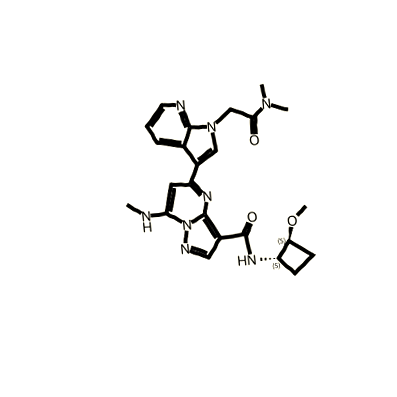 CNc1cc(-c2cn(CC(=O)N(C)C)c3ncccc23)nc2c(C(=O)N[C@H]3CC[C@@H]3OC)cnn12